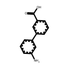 Nc1cccc(-c2cccc(C(=O)O)c2)c1